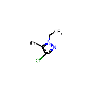 CC(C)c1c(Cl)[c]nn1CC(F)(F)F